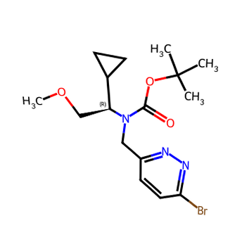 COC[C@@H](C1CC1)N(Cc1ccc(Br)nn1)C(=O)OC(C)(C)C